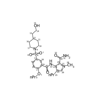 CCCOc1ccc(S(=O)(=O)N2CCC(CCO)CC2)cc1C(=O)Nc1c(CCC)cn(C)c1C(N)=O